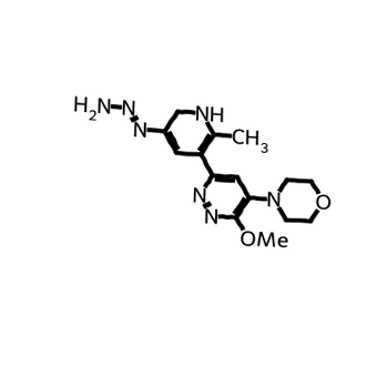 COc1nnc(C2=C(C)NCC(N=NN)=C2)cc1N1CCOCC1